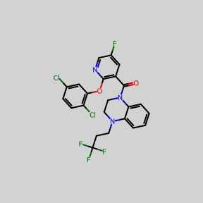 O=C(c1cc(F)cnc1Oc1cc(Cl)ccc1Cl)N1CCN(CCC(F)(F)F)c2ccccc21